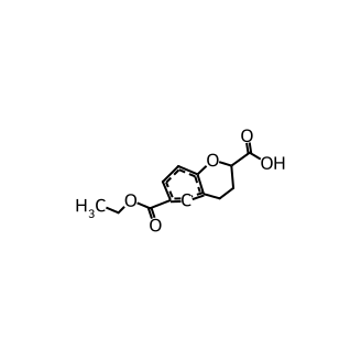 CCOC(=O)c1ccc2c(c1)CCC(C(=O)O)O2